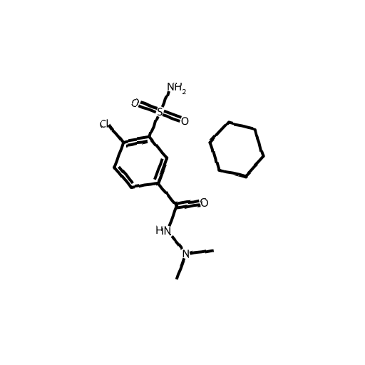 C1CCCCC1.CN(C)NC(=O)c1ccc(Cl)c(S(N)(=O)=O)c1